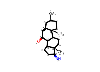 CC(=O)O[C@H]1CC[C@@]2(C)C(=CC(=O)C3C2CC[C@]2(C)C(=N)CCC32)C1